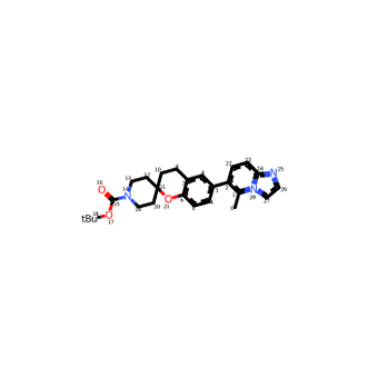 Cc1c(-c2ccc3c(c2)CCC2(CCN(C(=O)OC(C)(C)C)CC2)O3)ccc2nccn12